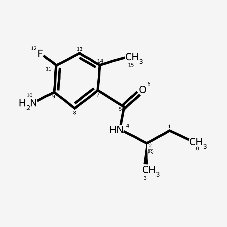 CC[C@@H](C)NC(=O)c1cc(N)c(F)cc1C